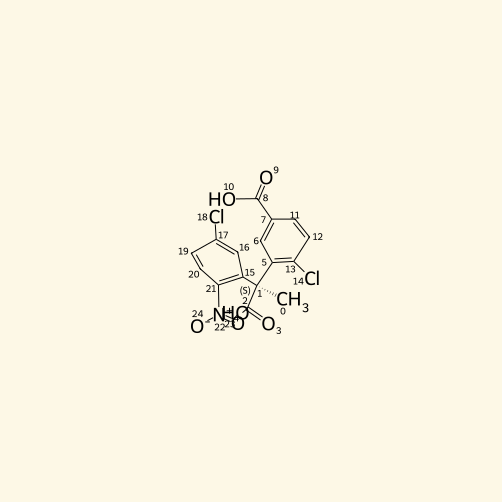 C[C@@](C(=O)O)(c1cc(C(=O)O)ccc1Cl)c1cc(Cl)ccc1[N+](=O)[O-]